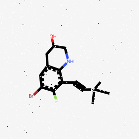 C[Si](C)(C)C#Cc1c(F)c(Br)cc2c1NCC(O)C2